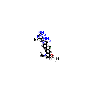 CCc1nc(N)nc(N)c1CN1CCc2cc(-c3cc4c(cc3F)c(=O)c(C(=O)O)cn4C3CC3)ccc21